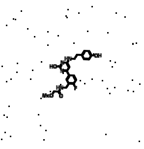 COCC(=O)NCc1cc(-c2cc(NCCc3ccc(O)cc3)nc(O)n2)ccc1F